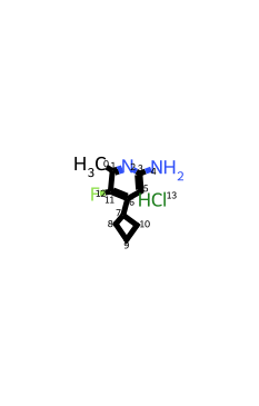 Cc1nc(N)cc(C2CCC2)c1F.Cl